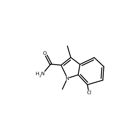 Cc1c(C(N)=O)n(C)c2c(Cl)cccc12